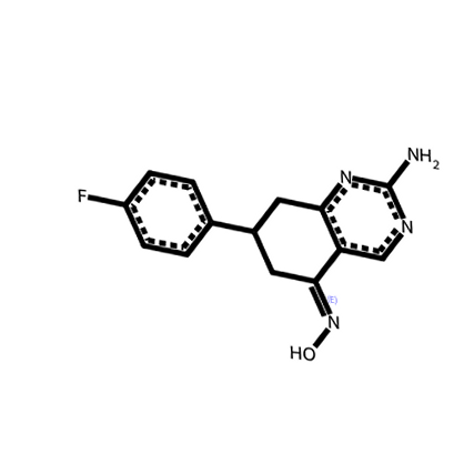 Nc1ncc2c(n1)CC(c1ccc(F)cc1)C/C2=N\O